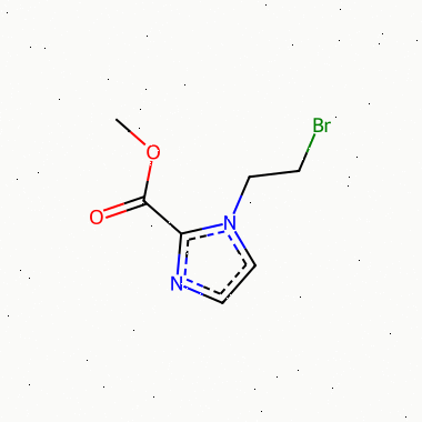 COC(=O)c1nccn1CCBr